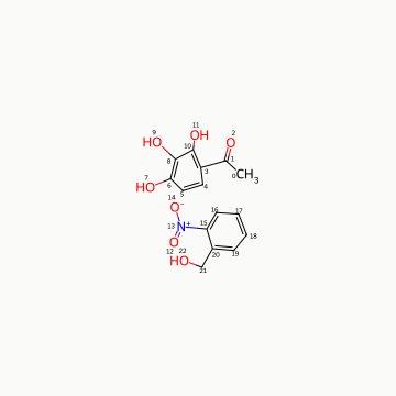 CC(=O)c1ccc(O)c(O)c1O.O=[N+]([O-])c1ccccc1CO